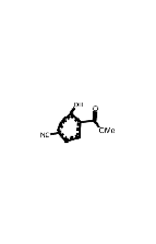 COC(=O)c1ccc(C#N)cc1O